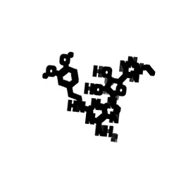 CCn1nnc(C2O[C@@H](n3cnc4c(N)nc(NCCc5ccc(OC)c(OC)c5)nc43)[C@H](O)[C@@H]2O)n1